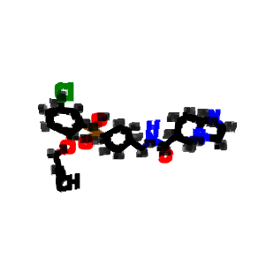 C#CCOc1ccc(Cl)cc1S(=O)(=O)c1ccc(CNC(=O)c2ccc3nccn3c2)cc1